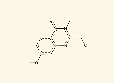 COc1ccc2c(=O)n(C)c(CCl)nc2c1